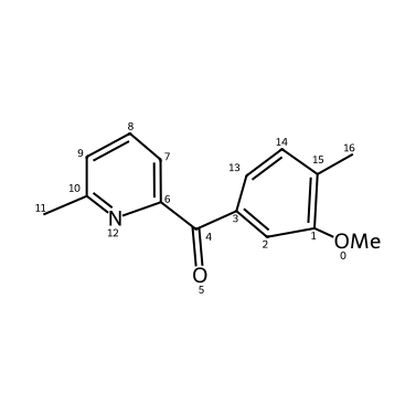 COc1cc(C(=O)c2cccc(C)n2)ccc1C